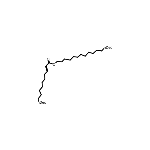 CCCCCCCCCCCCCCCCCC=CC(=O)OCCCCCCCCCCCCCCCCCCCCCC